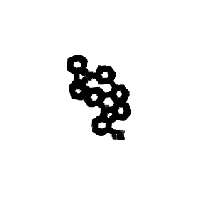 N#Cc1ccc(-n2c3ccccc3c3c(C#N)cccc32)c(-c2ccccc2-c2cccc(-n3c4ccccc4c4ccccc43)c2)c1